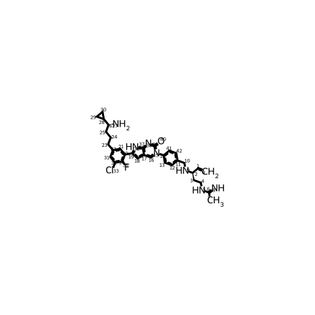 C=C[C@@H](CCNC(C)=N)NCc1ccc(-n2cc3cc(-c4cc(CCC[C@@H](N)C5CC5)cc(Cl)c4F)[nH]c3nc2=O)cc1